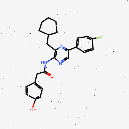 O=C(Cc1ccc(O)cc1)Nc1ncc(-c2ccc(F)cc2)nc1CC1CCCCC1